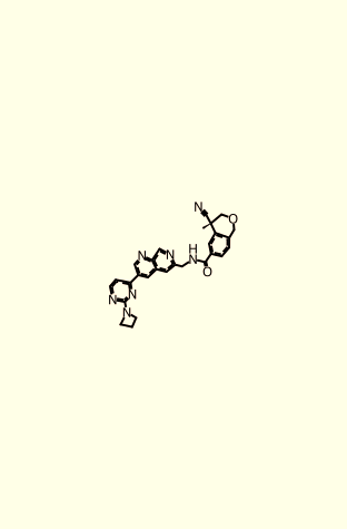 C[C@@]1(C#N)COCc2ccc(C(=O)NCc3cc4cc(-c5ccnc(N6CCC6)n5)cnc4cn3)cc21